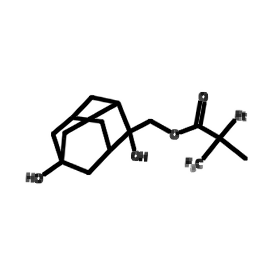 CCC(C)(C(=O)OCC1(O)C2CC3CC1CC(O)(C3)C2)C(F)(F)F